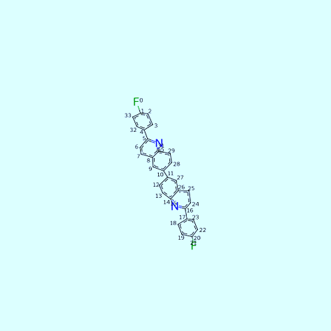 Fc1ccc(-c2ccc3cc(-c4ccc5nc(-c6ccc(F)cc6)ccc5c4)ccc3n2)cc1